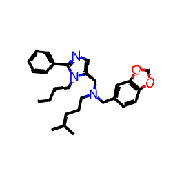 CCCCn1c(CN(CCCC(C)C)Cc2ccc3c(c2)OCO3)cnc1-c1ccccc1